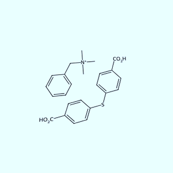 C[N+](C)(C)Cc1ccccc1.O=C(O)c1ccc(Sc2ccc(C(=O)O)cc2)cc1